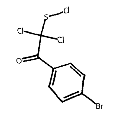 O=C(c1ccc(Br)cc1)C(Cl)(Cl)SCl